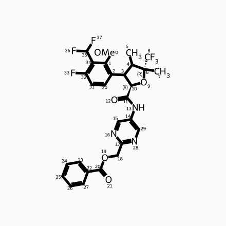 COc1c(C2C(C)[C@](C)(C(F)(F)F)O[C@H]2C(=O)Nc2cnc(COC(=O)c3ccccc3)nc2)ccc(F)c1C(F)F